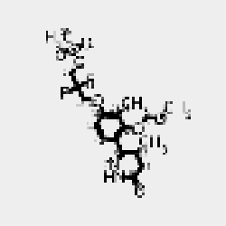 COCOc1c(C2=NNC(=O)CC2C)ccc(OCC(F)(F)COS(C)(=O)=O)c1C